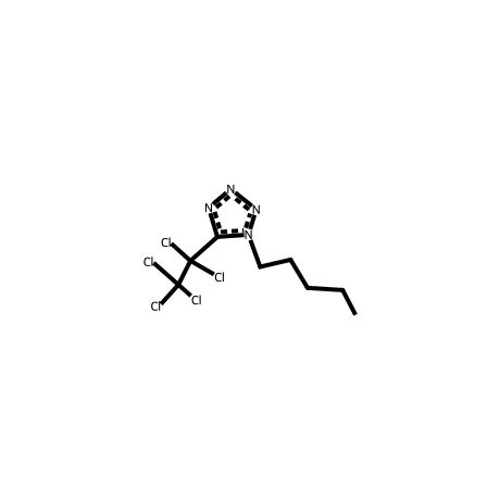 CCCCCn1nnnc1C(Cl)(Cl)C(Cl)(Cl)Cl